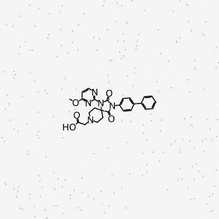 COc1ccnc(N2C(=O)N(c3ccc(-c4ccccc4)cc3)C(=O)C23CCN(CC(=O)O)CC3)n1